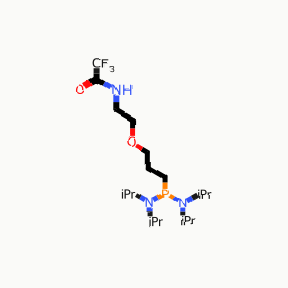 CC(C)N(C(C)C)P(CCCOCCNC(=O)C(F)(F)F)N(C(C)C)C(C)C